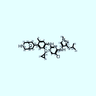 Cc1cc(Nc2ncc(Cl)c(Nc3cn(C)nc3SC(C)C)n2)c(OC2CC2)cc1C1CC2CNCC(C1)O2